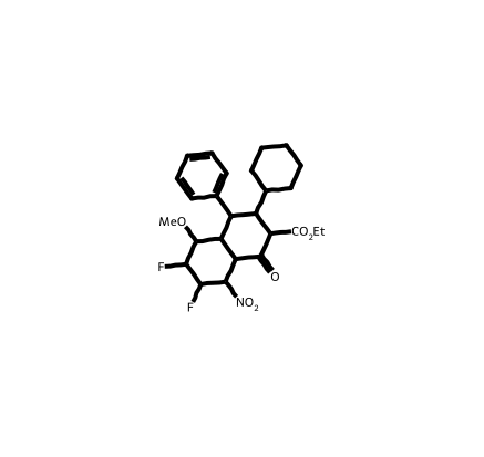 CCOC(=O)C1C(=O)C2C(C(OC)C(F)C(F)C2[N+](=O)[O-])C(c2ccccc2)C1C1CCCCC1